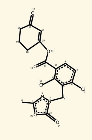 Cc1nn(Cc2c(Cl)ccc(C(=O)OC3=CC(=O)CCC3)c2Cl)c(=O)o1